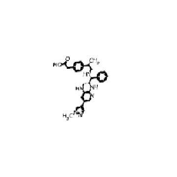 C[C@@H](CN[C@H](c1ccccc1)[C@H]1CNc2cc(-c3cnn(C)c3)cnc2N1)c1ccc(CC(=O)O)cc1